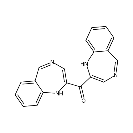 O=C(C1=CN=Cc2ccccc2N1)C1=CN=Cc2ccccc2N1